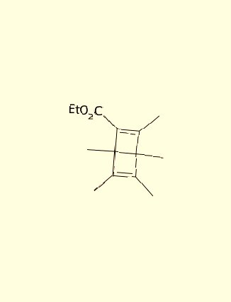 CCOC(=O)C1=C(C)C2(C)C(C)=C(C)C12C